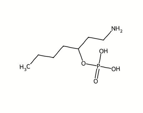 CCCCC(CCN)OP(=O)(O)O